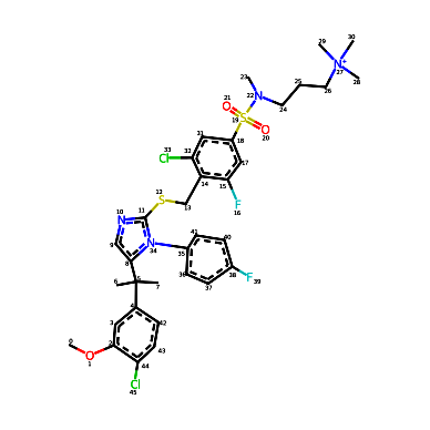 COc1cc(C(C)(C)c2cnc(SCc3c(F)cc(S(=O)(=O)N(C)CCC[N+](C)(C)C)cc3Cl)n2-c2ccc(F)cc2)ccc1Cl